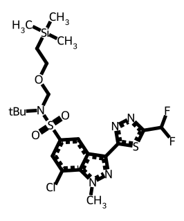 Cn1nc(-c2nnc(C(F)F)s2)c2cc(S(=O)(=O)N(COCC[Si](C)(C)C)C(C)(C)C)cc(Cl)c21